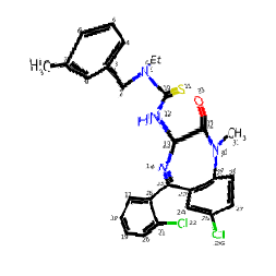 CCN(Cc1cccc(C)c1)C(=S)NC1N=C(c2ccccc2Cl)c2cc(Cl)ccc2N(C)C1=O